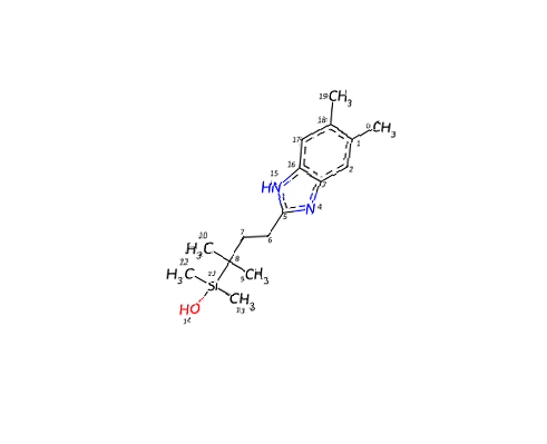 Cc1cc2nc(CCC(C)(C)[Si](C)(C)O)[nH]c2cc1C